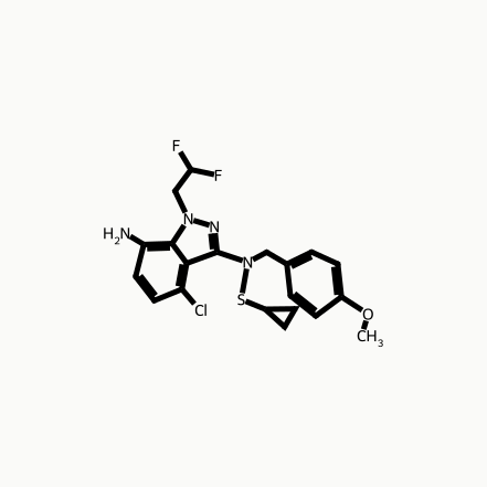 COc1ccc(CN(SC2CC2)c2nn(CC(F)F)c3c(N)ccc(Cl)c23)cc1